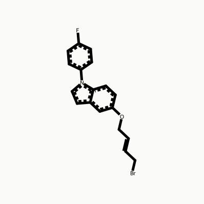 Fc1ccc(-n2ccc3cc(OCC=CCBr)ccc32)cc1